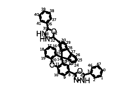 c1ccc(C2NN=C(c3ccc4c(c3)C3(c5ccccc5O4)c4ccccc4-c4ccc(C5NNC(c6ccccc6)O5)cc43)O2)cc1